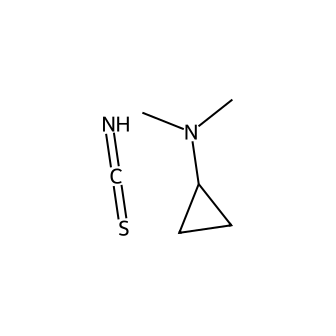 CN(C)C1CC1.N=C=S